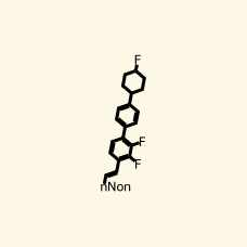 CCCCCCCCC/C=C/c1ccc(-c2ccc(C3CCC(F)CC3)cc2)c(F)c1F